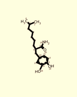 CC(C)CCCCCC(Cc1ccc(O)c(O)c1)C(N)=O